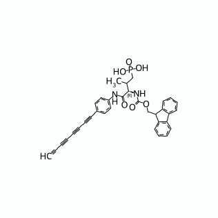 C#CC#CC#CC#Cc1ccc(NC(=O)[C@H](NC(=O)OCC2c3ccccc3-c3ccccc32)C(C)CP(=O)(O)O)cc1